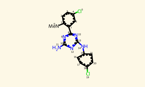 CNc1ccc(Cl)cc1-c1nc(N)nc(Nc2ccc(Cl)cc2)n1